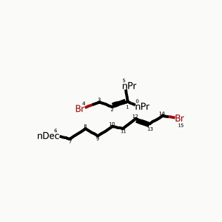 CCCC(=CCBr)CCC.CCCCCCCCCCCCCCC/C=C/CBr